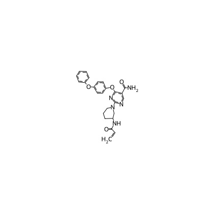 C=CC(=O)NC1CCCN(c2ncc(C(N)=O)c(Oc3ccc(Oc4ccccc4)cc3)n2)C1